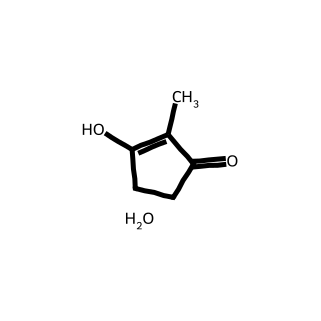 CC1=C(O)CCC1=O.O